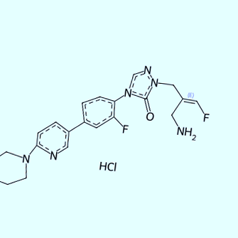 Cl.NC/C(=C\F)Cn1ncn(-c2ccc(-c3ccc(N4CCOCC4)nc3)cc2F)c1=O